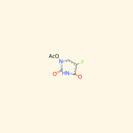 CC(=O)On1cc(F)c(=O)[nH]c1=O